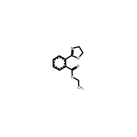 CCOC(=O)c1ccccc1C1=NCCO1